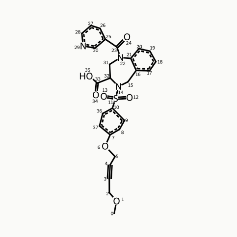 COCC#CCOc1ccc(S(=O)(=O)N2Cc3ccccc3N(C(=O)c3cccnc3)CC2C(=O)O)cc1